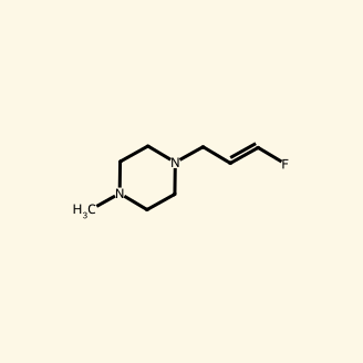 CN1CCN(C/C=C/F)CC1